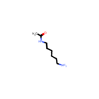 CC(=O)NCCCCCCN